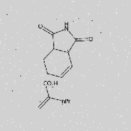 C=C(CCC)C(=O)O.O=C1NC(=O)C2CCC=CC12